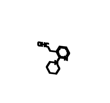 O=CCc1cccnc1N1CCCCC1